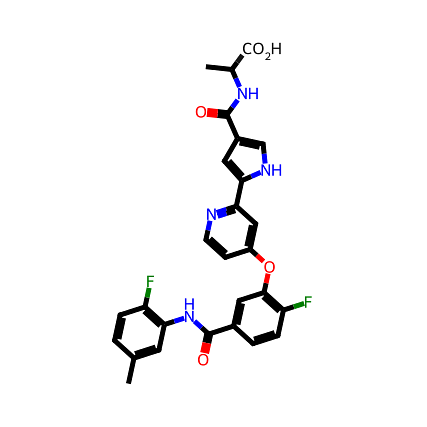 Cc1ccc(F)c(NC(=O)c2ccc(F)c(Oc3ccnc(-c4cc(C(=O)NC(C)C(=O)O)c[nH]4)c3)c2)c1